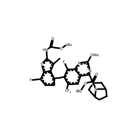 COc1nc(N2CC3CCC(C2)N3C(=O)OC(C)(C)C)c2cc(C(F)(F)F)c(-c3ccc(F)c4sc(NC(=O)OC(C)(C)C)c(C)c34)c(F)c2n1